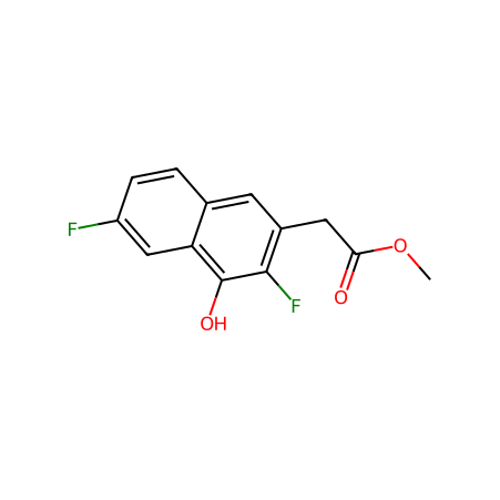 COC(=O)Cc1cc2ccc(F)cc2c(O)c1F